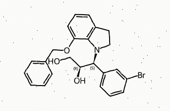 OC[C@H](O)[C@H](c1cccc(Br)c1)N1CCc2cccc(OCc3ccccc3)c21